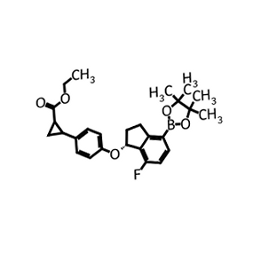 CCOC(=O)C1CC1c1ccc(O[C@@H]2CCc3c(B4OC(C)(C)C(C)(C)O4)ccc(F)c32)cc1